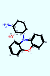 N[C@H]1CCC[C@@H](N2c3ccccc3Oc3ccccc32)[C@@H]1O